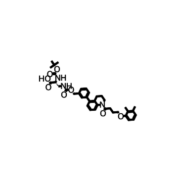 Cc1cccc(OCCCC(=O)N2CCCc3c(-c4cccc(COC(=O)NC[C@@H](NC(=O)OC(C)(C)C)C(=O)O)c4)cccc32)c1C